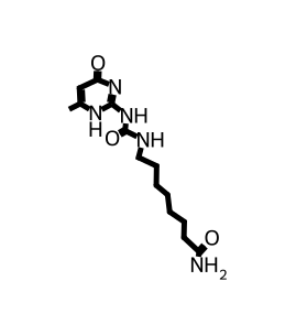 Cc1cc(=O)nc(NC(=O)NCCCCCCCC(N)=O)[nH]1